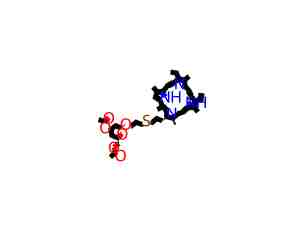 C=Cc1c(C)c2cc3nc(c(C)c4cc(C)c(cc5nc(cc1[nH]2)C(C)=C5CC)[nH]4)[C@@H](CCCSCCCO[C@H]1C[C@@H](OC(C)=O)C[C@@H](COC(C)=O)O1)[C@@H]3C